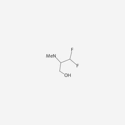 CNC(CO)C(F)F